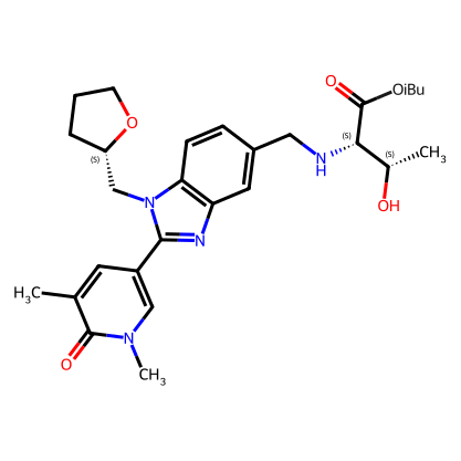 Cc1cc(-c2nc3cc(CN[C@H](C(=O)OCC(C)C)[C@H](C)O)ccc3n2C[C@@H]2CCCO2)cn(C)c1=O